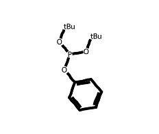 CC(C)(C)OP(Oc1ccccc1)OC(C)(C)C